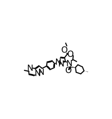 CCOC(=O)c1cn(-c2ccc(-c3cc4nc(C)ccn4n3)cc2)nc1N(C(=O)[C@H]1CC[C@H](C)CC1)C(C)C